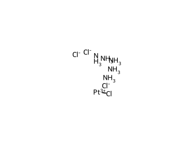 N.N.N.N.N.[Cl-].[Cl-].[Cl-].[Cl][Pt+3]